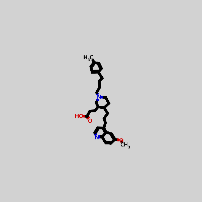 COc1ccc2nccc(CCCC3CCN(CCCCc4ccc(C)cc4)CC3CCC(=O)O)c2c1